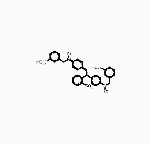 CCN(Cc1cccc(S(=O)(=O)O)c1)c1ccc(C(C=C2C=CC(=[N+](CC)Cc3cccc(S(=O)(=O)O)c3)C=C2)c2ccccc2S(=O)(=O)O)cc1